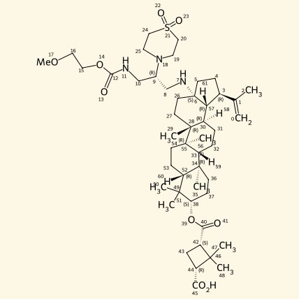 C=C(C)[C@@H]1CC[C@]2(NC[C@H](CNC(=O)OCCOC)N3CCS(=O)(=O)CC3)CC[C@]3(C)[C@H](CC[C@@H]4[C@@]5(C)CC[C@H](OC(=O)[C@H]6C[C@@H](C(=O)O)C6(C)C)C(C)(C)[C@@H]5CC[C@]43C)[C@@H]12